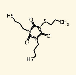 CCCSn1c(=O)n(CCCS)c(=O)n(CCCS)c1=O